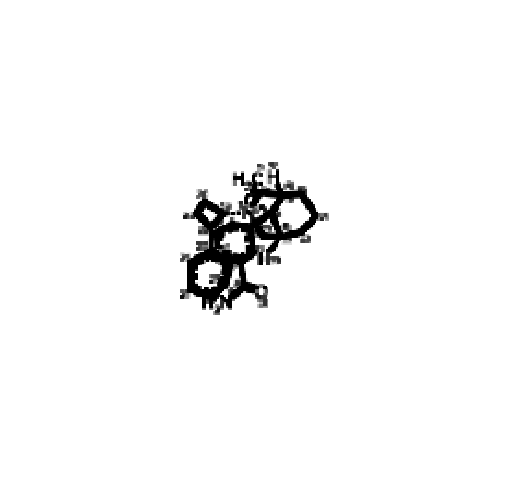 CO[C@@]1(c2ccnc(C(N)=O)c2)[C@@H]2CCC[C@H]1CN([C@H]1CC[C@@H]1c1ccccc1)C2